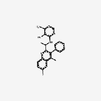 Cc1c(-c2ccccc2)c(C(C)Nc2ncnc(N)c2C#N)nc2ccc(F)cc12